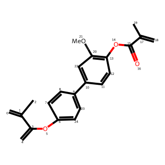 C=C(C)C(=C)Oc1ccc(-c2ccc(OC(=O)C(=C)C)c(OC)c2)cc1